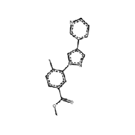 COC(=O)c1ccc(C)c(-n2cc(-c3cccnc3)cn2)c1